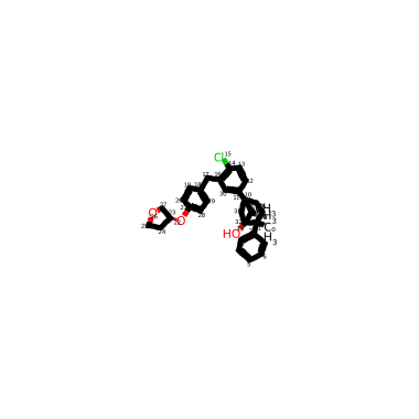 CC1(c2ccccc2)CCC2(c3ccc(Cl)c(Cc4ccc(O[C@H]5CCOC5)cc4)c3)CC1(O)C2(C)C